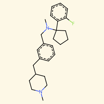 CN1CCC(Cc2cccc(CN(C)C3(c4ccccc4F)CCCC3)c2)CC1